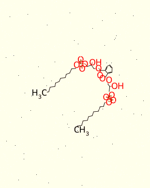 CCCCCCCCCCCCOS(=O)(=O)OCC(O)COC(=O)c1ccccc1C(=O)OCC(O)COS(=O)(=O)OCCCCCCCCCCCC